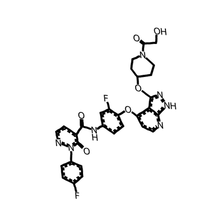 O=C(Nc1ccc(Oc2ccnc3[nH]nc(OC4CCN(C(=O)CO)CC4)c23)c(F)c1)c1ccnn(-c2ccc(F)cc2)c1=O